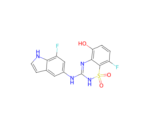 O=S1(=O)NC(Nc2cc(F)c3[nH]ccc3c2)=Nc2c(O)ccc(F)c21